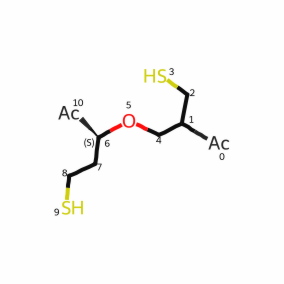 CC(=O)C(CS)CO[C@@H](CCS)C(C)=O